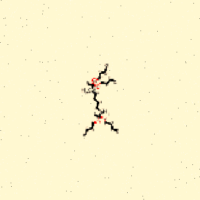 CCCCOC(C)(OCCCC)[SiH2]CCCC[SiH2]C(C)(OCCCC)OCCCC